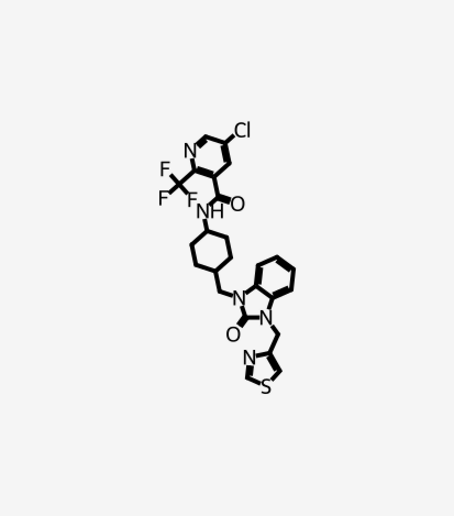 O=C(NC1CCC(Cn2c(=O)n(Cc3cscn3)c3ccccc32)CC1)c1cc(Cl)cnc1C(F)(F)F